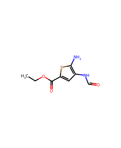 CCOC(=O)c1cc(NC=O)c(N)s1